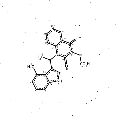 Cc1cccc2[nH]cc(C(C)n3c(=O)n(CC(=O)O)c(=O)c4cnccc43)c12